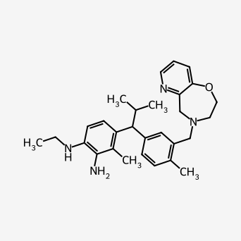 CCNc1ccc(C(c2ccc(C)c(CN3CCOc4cccnc4C3)c2)C(C)C)c(C)c1N